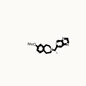 COc1ccc2c(c1)CCN([C@@H](C)c1ccc3nccnc3c1)CC2